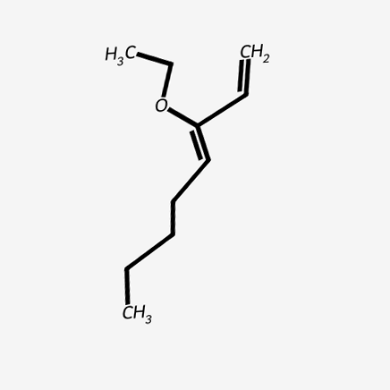 C=C/C(=C/CCCC)OCC